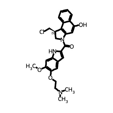 COc1cc2[nH]c(C(=O)N3C[C@@H](CCl)c4c3cc(O)c3ccccc43)cc2cc1OCCN(C)C